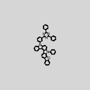 c1ccc(-c2nc(-c3ccccc3)nc(-c3cccc(-n4c5ccccc5c5c6c7ccc8c9ccccc9oc8c7n(-c7ccccc7)c6ccc54)c3)n2)cc1